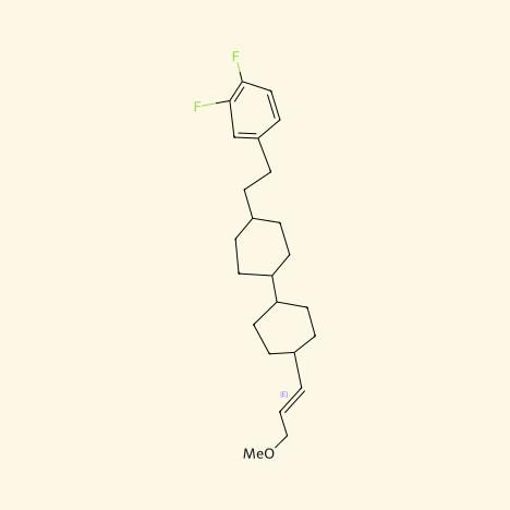 COC/C=C/C1CCC(C2CCC(CCc3ccc(F)c(F)c3)CC2)CC1